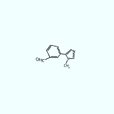 Cn1cncc1-c1cccc(C=O)c1